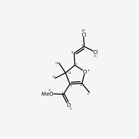 COC(=O)C1=C(C)OC(C=C(Cl)Cl)C1(C)C